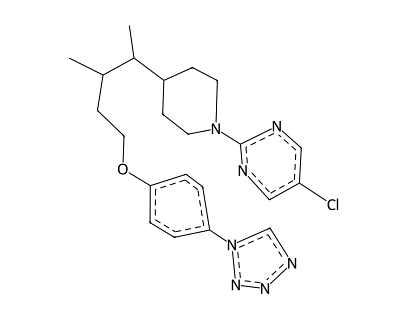 CC(CCOc1ccc(-n2cnnn2)cc1)C(C)C1CCN(c2ncc(Cl)cn2)CC1